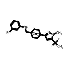 Cn1nc(C23CCC(CNc4cccc(Br)c4)(CC2)CC3)cc1C(C)(F)F